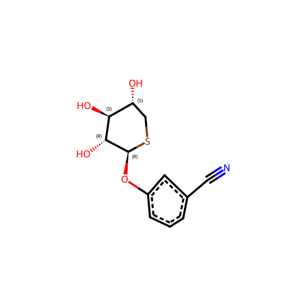 N#Cc1cccc(O[C@@H]2SC[C@@H](O)[C@H](O)[C@H]2O)c1